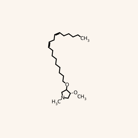 CCCCC/C=C\C/C=C\CCCCCCCCOC1CN(C)C[C@H]1OC